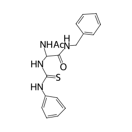 CC(=O)NC(NC(=S)Nc1ccccc1)C(=O)NCc1ccccc1